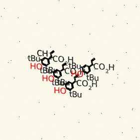 C.C=CC(C(=O)O)c1cc(C(C)(C)C)c(O)c(C(C)(C)C)c1.C=CC(C(=O)O)c1cc(C(C)(C)C)c(O)c(C(C)(C)C)c1.C=CC(C(=O)O)c1cc(C(C)(C)C)c(O)c(C(C)(C)C)c1.C=CC(C(=O)O)c1cc(C(C)(C)C)c(O)c(C(C)(C)C)c1